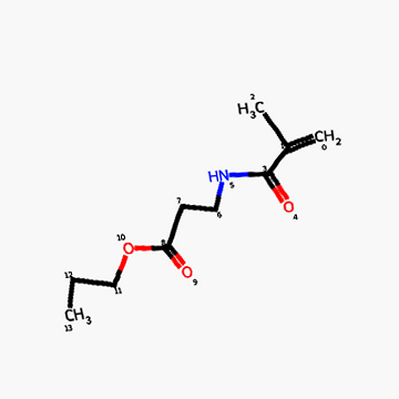 C=C(C)C(=O)NCCC(=O)OCCC